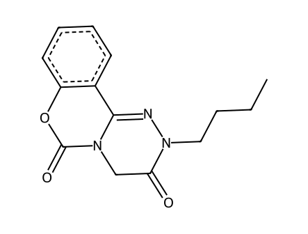 CCCCN1N=C2c3ccccc3OC(=O)N2CC1=O